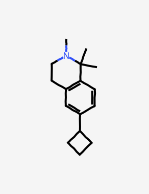 CN1CCc2cc(C3CCC3)ccc2C1(C)C